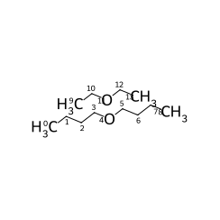 CCCCOCCCC.CCOCC